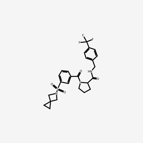 O=C(NCc1ccc(C(F)(F)F)cc1)C1CCCN1C(=O)c1cccc(S(=O)(=O)N2CC3(CC3)C2)c1